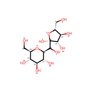 OC[C@H]1O[C@](O)(C(O)[C@@H]2O[C@H](CO)[C@@H](O)[C@H](O)[C@H]2O)[C@@H](O)[C@@H]1O